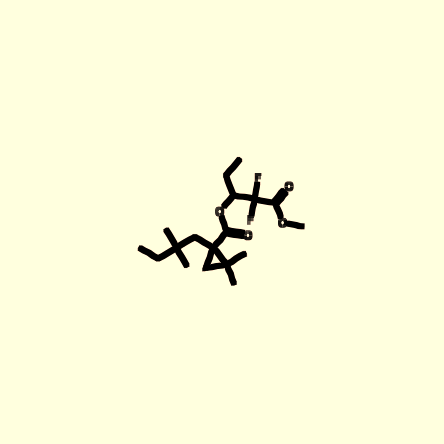 CCC(OC(=O)C1(CC(C)(C)CC)CC1(C)C)C(F)(F)C(=O)OC